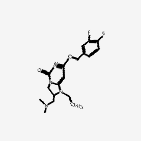 CN(C)CC1Cn2c(cc(OCc3ccc(F)c(F)c3)nc2=O)N1CC=O